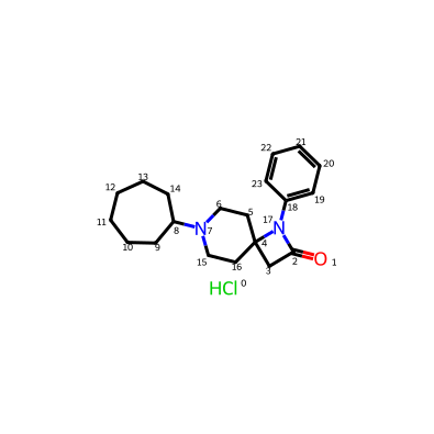 Cl.O=C1CC2(CCN(C3CCCCCC3)CC2)N1c1ccccc1